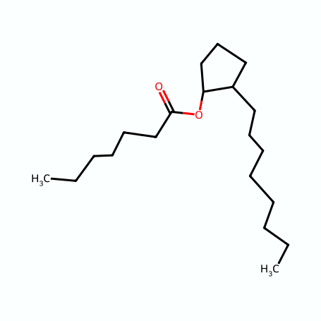 CCCCCCCCC1CCCC1OC(=O)CCCCCC